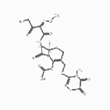 CO/N=C(/C(=O)CBr)C(=O)N[C@@H]1C(=O)N2C(OC(=O)O)=C(CSc3n[nH]c(=O)c(=O)n3C)CS[C@H]12